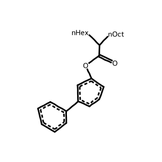 CCCCCCCCC(CCCCCC)C(=O)Oc1cccc(-c2ccccc2)c1